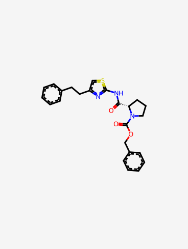 O=C(Nc1nc(CCc2ccccc2)cs1)[C@@H]1CCCN1C(=O)OCc1ccccc1